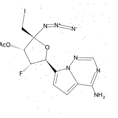 CC(=O)O[C@H]1[C@@H](F)[C@H](c2ccc3c(N)ncnn23)O[C@@]1(CI)N=[N+]=[N-]